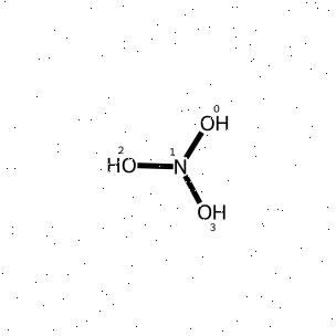 ON(O)O